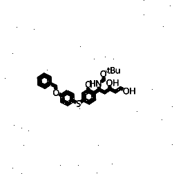 CC(C)(C)OCNC(CC(O)CCO)c1ccc(Sc2ccc(OCc3ccccc3)cc2)cc1Cl